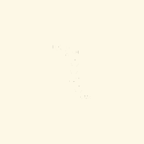 C=CC(=O)OC(C)c1ccc2cc(OC(=O)c3ccc(OC)cc3)ccc2c1